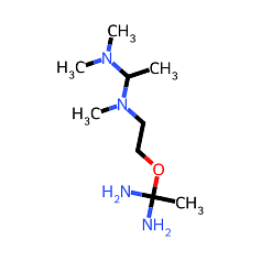 CC(N(C)C)N(C)CCOC(C)(N)N